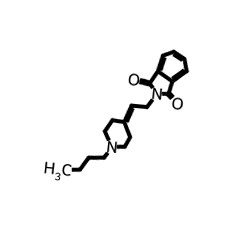 CCCCN1CCC(=CCN2C(=O)c3ccccc3C2=O)CC1